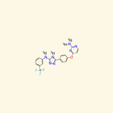 [2H]N([2H])c1nccc(Oc2ccc(-c3nnc(N([2H])c4cccc(C(F)(F)F)c4)n3[2H])cc2)n1